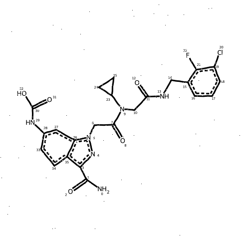 NC(=O)c1nn(CC(=O)N(CC(=O)NCc2cccc(Cl)c2F)C2CC2)c2cc(NC(=O)O)ccc12